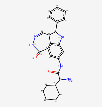 N[C@H](C(=O)Nc1cc2c3c(c1)C(=O)NN=CC3C(c1ccccc1)N2)C1CCCCC1